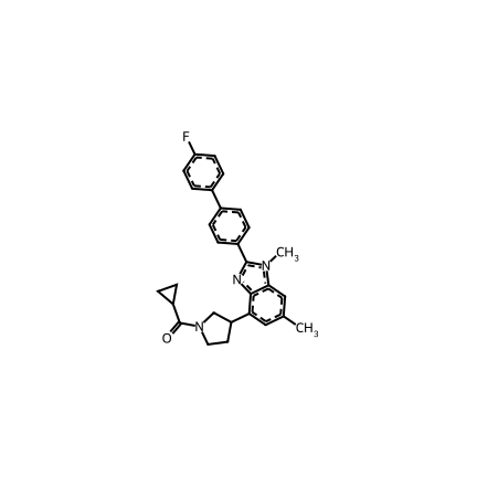 Cc1cc(C2CCN(C(=O)C3CC3)C2)c2nc(-c3ccc(-c4ccc(F)cc4)cc3)n(C)c2c1